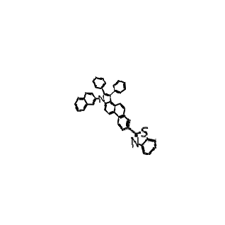 c1ccc(-c2c(-c3ccccc3)n(-c3ccc4ccccc4c3)c3ccc4c5ccc(-c6nc7ccccc7s6)cc5ccc4c23)cc1